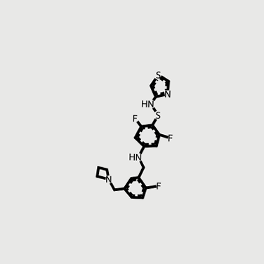 Fc1ccc(CN2CCC2)cc1CNc1cc(F)c(SNc2cscn2)c(F)c1